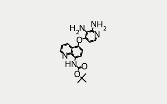 CC(C)(C)OC(=O)Nc1ccc(Oc2ccnc(N)c2N)c2cccnc12